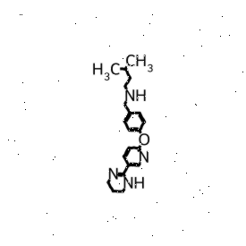 CC(C)CCNCc1ccc(Oc2ccc(C3=NCCCN3)cn2)cc1